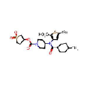 CC(C)(C)c1cc(N(C(=O)[C@H]2CC[C@H](C)CC2)C2CCN(C(=O)OC3CCS(=O)(=O)C3)CC2)c(C(=O)O)s1